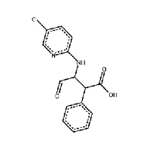 O=CC(Nc1ccc(Cl)cn1)C(C(=O)O)c1ccccc1